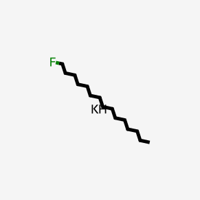 CCCCCCCCCCCCCCCF.[KH]